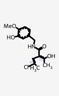 COc1ccc(CNC(=O)C(/C=C(\C)Cl)=C(/C)O)cc1O